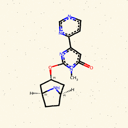 Cn1c(O[C@H]2C[C@H]3CC[C@@H](C2)N3)nc(-c2ccncn2)cc1=O